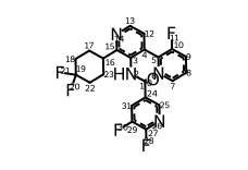 O=C(Nc1c(-c2ncccc2F)ccnc1C1CCC(F)(F)CC1)c1cnc(F)c(F)c1